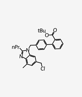 CCCc1nc2c(C)cc(CCl)cc2n1Cc1ccc(-c2ccccc2C(=O)OC(C)(C)C)cc1